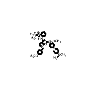 COc1ccc(CN2CCc3c(Nc4ccccc4S(=O)(=O)C(C)C)nc(Nc4ccc(N5CCC(N(C)C)CC5)cc4OC)nc32)cc1